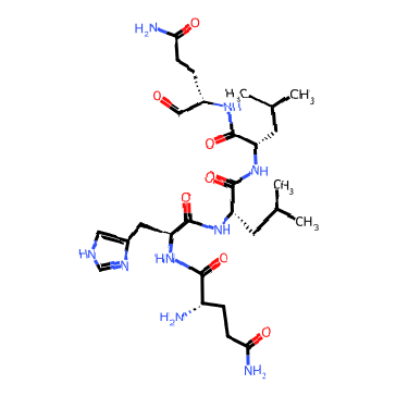 CC(C)C[C@H](NC(=O)[C@H](CC(C)C)NC(=O)[C@H](Cc1c[nH]cn1)NC(=O)[C@@H](N)CCC(N)=O)C(=O)N[C@H]([C]=O)CCC(N)=O